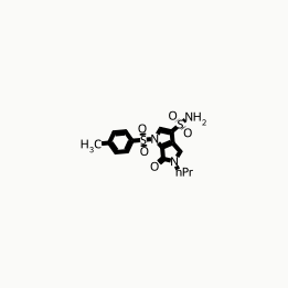 CCCN1Cc2c(S(N)(=O)=O)cn(S(=O)(=O)c3ccc(C)cc3)c2C1=O